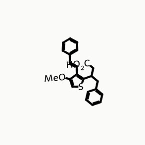 COc1csc(C(CC(=O)O)Cc2ccccc2)c1C=Cc1ccccc1